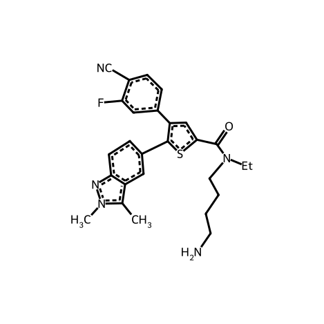 CCN(CCCCN)C(=O)c1cc(-c2ccc(C#N)c(F)c2)c(-c2ccc3nn(C)c(C)c3c2)s1